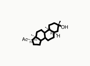 CC(=O)[C@H]1CCC2C3CC[C@@H]4C[C@@](C)(O)CC[C@]4(C)C3CC[C@@]21C